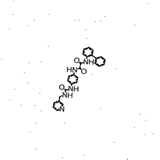 O=C(NCc1cccnc1)Nc1ccc(NC(=O)C(=O)Nc2ccccc2-c2ccccc2)cc1